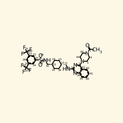 CC(=O)N1CCN(c2nc(NC[C@H]3CC[C@H](CNS(=O)(=O)c4cc(C(F)(F)F)cc(C(F)(F)F)c4)CC3)nc3ccccc23)CC1